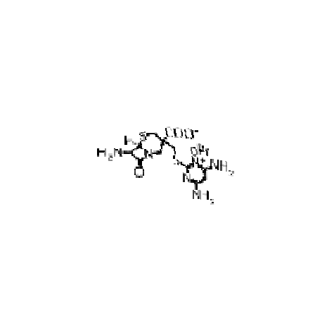 CCC[n+]1c(N)cc(N)nc1SCC1(C(=O)[O-])CS[C@@H]2C(N)C(=O)N2C1